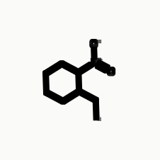 [CH2]CC1CCCCC1[N+](=O)[O-]